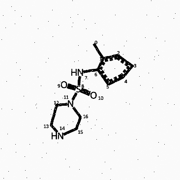 Cc1ccccc1NS(=O)(=O)N1CCNCC1